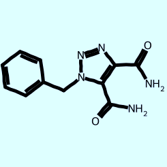 NC(=O)c1nnn(Cc2ccccc2)c1C(N)=O